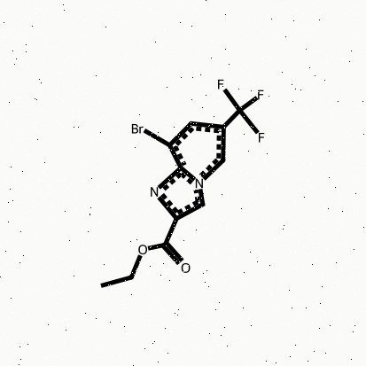 CCOC(=O)c1cn2cc(C(F)(F)F)cc(Br)c2n1